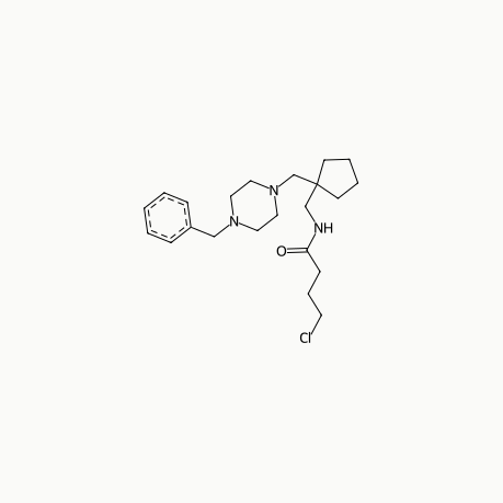 O=C(CCCCl)NCC1(CN2CCN(Cc3ccccc3)CC2)CCCC1